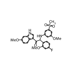 COc1cc(NC(C(=O)c2c[nH]c3cc(OC)ccc23)c2ccc(F)cc2OC)cc(S(C)(=O)=O)c1